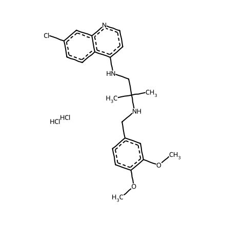 COc1ccc(CNC(C)(C)CNc2ccnc3cc(Cl)ccc23)cc1OC.Cl.Cl